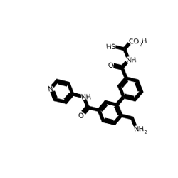 NCc1ccc(C(=O)Nc2ccncc2)cc1-c1cccc(C(=O)NC(S)C(=O)O)c1